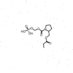 CCC(=O)OCC1CCCN1C(=O)OCOP(=O)(O)O